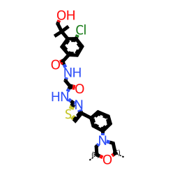 C[C@@H]1CN(c2cccc(-c3csc(NC(=O)CNC(=O)c4ccc(Cl)c(C(C)(C)CO)c4)n3)c2)C[C@H](C)O1